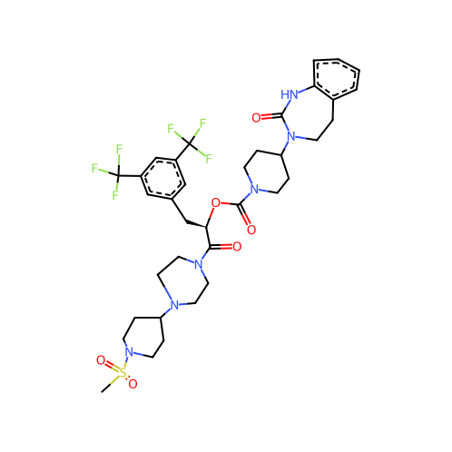 CS(=O)(=O)N1CCC(N2CCN(C(=O)[C@@H](Cc3cc(C(F)(F)F)cc(C(F)(F)F)c3)OC(=O)N3CCC(N4CCc5ccccc5NC4=O)CC3)CC2)CC1